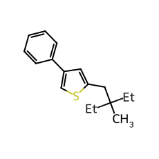 CCC(C)(CC)Cc1cc(-c2ccccc2)cs1